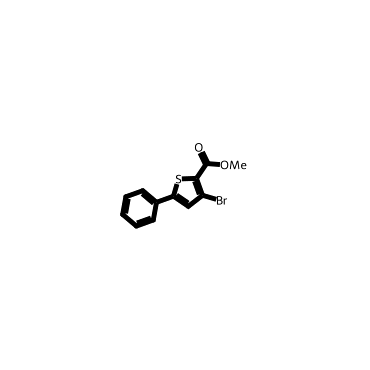 COC(=O)c1sc(-c2ccccc2)cc1Br